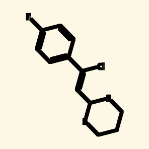 Fc1ccc(C(Cl)=CC2SCCCS2)cc1